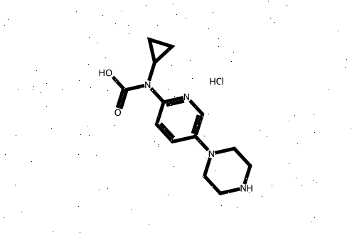 Cl.O=C(O)N(c1ccc(N2CCNCC2)cn1)C1CC1